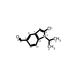 CC(C)n1c(Cl)cc2cc(C=O)ccc21